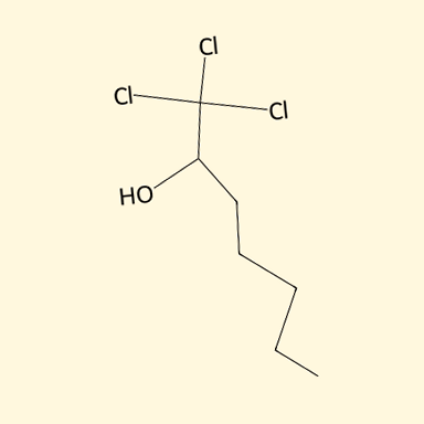 CCCCCC(O)C(Cl)(Cl)Cl